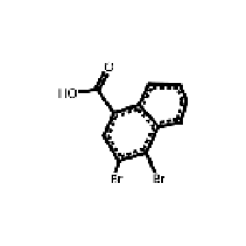 O=C(O)c1cc(Br)c(Br)c2ccccc12